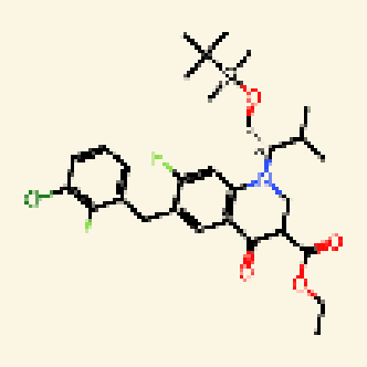 CCOC(=O)C1CN([C@H](CO[Si](C)(C)C(C)(C)C)C(C)C)c2cc(F)c(Cc3cccc(Cl)c3F)cc2C1=O